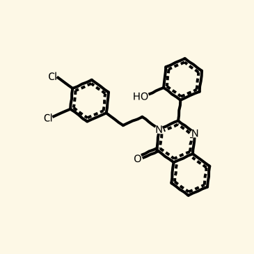 O=c1c2ccccc2nc(-c2ccccc2O)n1CCc1ccc(Cl)c(Cl)c1